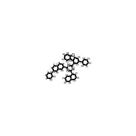 c1ccc(-c2ccc3ccc(-c4nc(-c5cccc6ccccc56)nc(-c5cc(-c6ccccc6)cc6oc7ccccc7c56)n4)cc3c2)cc1